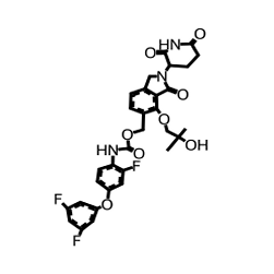 CC(C)(O)COc1c(COC(=O)Nc2ccc(Oc3cc(F)cc(F)c3)cc2F)ccc2c1C(=O)N(C1CCC(=O)NC1=O)C2